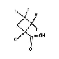 O=C(O)C1(Cl)CC(F)(F)C1(F)F